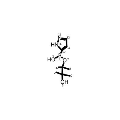 CC(C)(O)C(C)(C)OB(O)c1ccn[nH]1